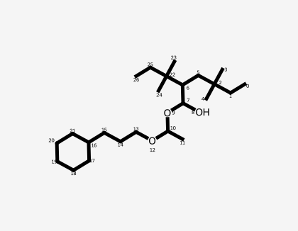 CCC(C)(C)CC(C(O)OC(C)OCCCC1CCCCC1)C(C)(C)CC